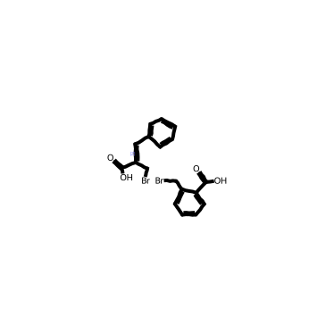 O=C(O)/C(=C/c1ccccc1)CBr.O=C(O)c1ccccc1CBr